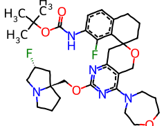 CC(C)(C)OC(=O)Nc1ccc2c(c1F)C1(CCC2)Cc2nc(OC[C@@]34CCCN3C[C@H](F)C4)nc(N3CCCOCC3)c2CO1